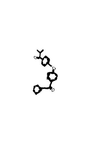 C=C(C)C(=O)c1ccc(Oc2ccc(C(=O)c3ccccc3)cc2)cc1